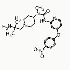 CN(C(=O)Nc1cc(Oc2ccc([N+](=O)[O-])cc2)ccn1)C1CCN(CC(C)(C)N)CC1